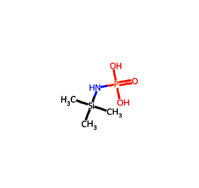 C[Si](C)(C)NP(=O)(O)O